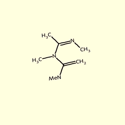 C=C(NC)N(C)/C(C)=N\C